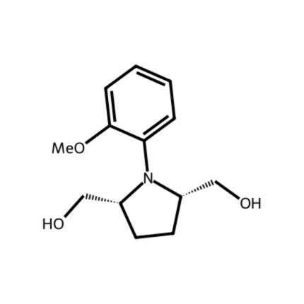 COc1ccccc1N1[C@H](CO)CC[C@@H]1CO